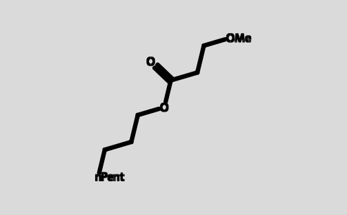 CCCCCCCCOC(=O)CCOC